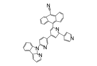 N#Cc1c2ccccc2c(-c2cc(-c3ccc(-n4c5ccccc5c5cccnc54)nc3)cc(-c3ccncc3)n2)c2ccccc12